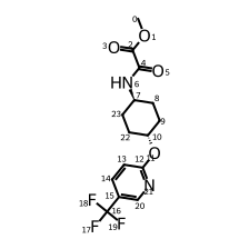 COC(=O)C(=O)N[C@H]1CC[C@H](Oc2ccc(C(F)(F)F)cn2)CC1